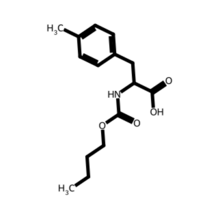 CCCCOC(=O)NC(Cc1ccc(C)cc1)C(=O)O